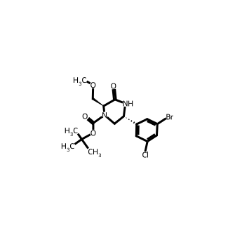 COC[C@H]1C(=O)N[C@H](c2cc(Cl)cc(Br)c2)CN1C(=O)OC(C)(C)C